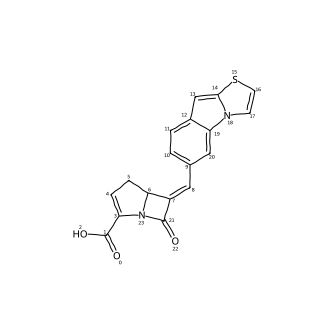 O=C(O)C1=CCC2/C(=C\c3ccc4cc5sccn5c4c3)C(=O)N12